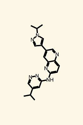 CC(C)c1cnnc(Nc2ccc3ncc(-c4cnn(C(C)C)c4)cc3n2)c1